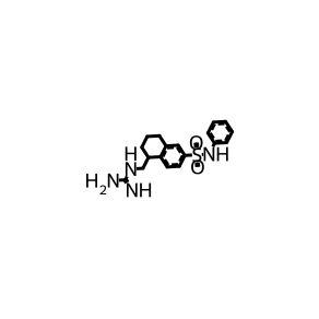 N=C(N)NCC1CCCc2cc(S(=O)(=O)Nc3ccccc3)ccc21